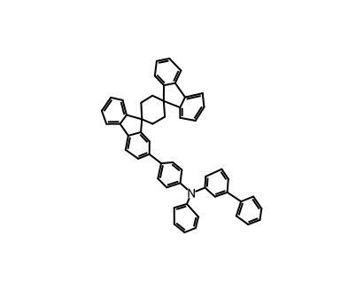 c1ccc(-c2cccc(N(c3ccccc3)c3ccc(-c4ccc5c(c4)C4(CCC6(CC4)c4ccccc4-c4ccccc46)c4ccccc4-5)cc3)c2)cc1